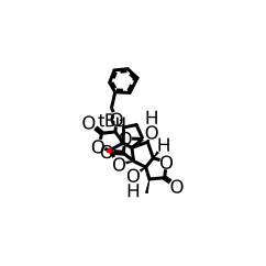 C[C@@H]1C(=O)O[C@H]2[C@H](O)C34C5C[C@@H](C(C)(C)C)C36C(OC(=O)C6OCc3ccccc3)O[C@]4(C(=O)O5)[C@@]12O